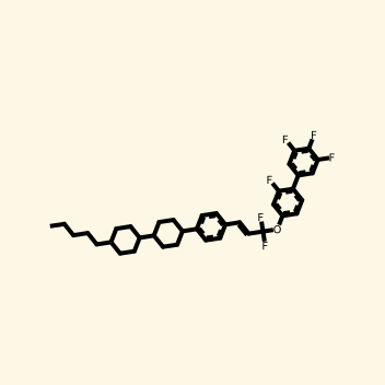 CCCCCC1CCC(C2CCC(c3ccc(/C=C/C(F)(F)Oc4ccc(-c5cc(F)c(F)c(F)c5)c(F)c4)cc3)CC2)CC1